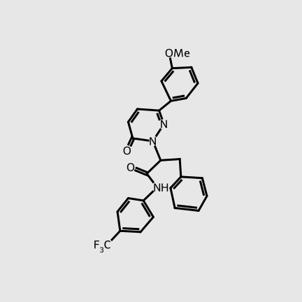 COc1cccc(-c2ccc(=O)n(C(Cc3ccccc3)C(=O)Nc3ccc(C(F)(F)F)cc3)n2)c1